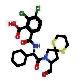 O=C[C@@H]1CC2(CN1C(=O)[C@@H](NC(=O)c1ccc(Cl)c(Cl)c1C(=O)O)C1CCCCC1)SCCCS2